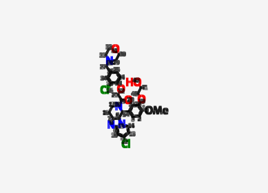 COc1ccc(C2c3c(nc4cc(Cl)ccn34)CCN2C(=O)COc2ccc(CN3CCOCC3)cc2Cl)cc1OCCO